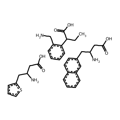 CCC(C(=O)O)c1ccccc1CN.NC(CC(=O)O)Cc1ccc2ccccc2c1.NC(CC(=O)O)Cc1cccs1